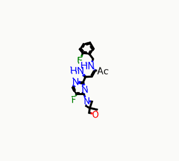 CC(=O)/C(=C/C(=N)c1ncc(F)c(N2CC3(COC3)C2)n1)NCc1ccccc1F